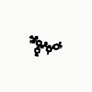 Cc1cc(C(=O)Nc2ccc(S(=N)(=O)C3CC3)cc2N2CCC3(CC2)CC3)nc(N2CCC(F)(F)CC2)c1